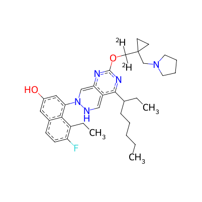 [2H]C([2H])(Oc1nc(C(CC)CCCCC)c2c(n1)=CN(c1cc(O)cc3ccc(F)c(CC)c13)NC=2)C1(CN2CCCC2)CC1